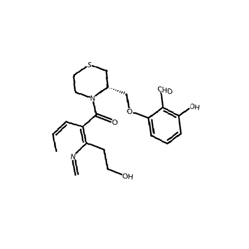 C=N/C(CCO)=C(\C=C/C)C(=O)N1CCSC[C@@H]1COc1cccc(O)c1C=O